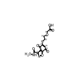 CNC(=O)c1noc2c1C(=O)C(SCCOCC(=O)O)=CC2=O